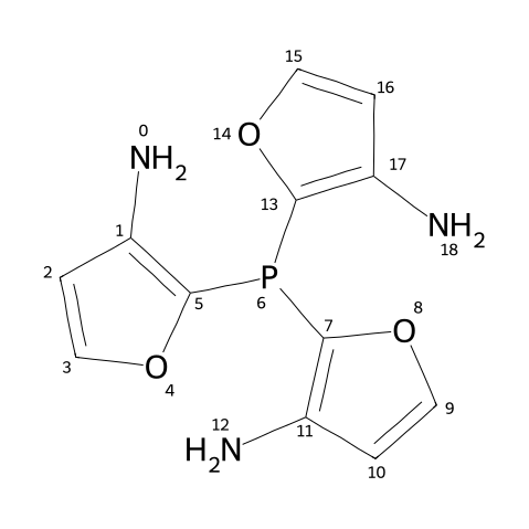 Nc1ccoc1P(c1occc1N)c1occc1N